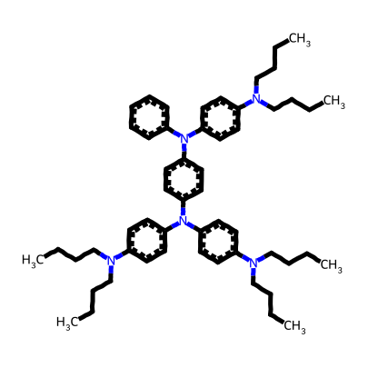 CCCCN(CCCC)c1ccc(N(c2ccccc2)c2ccc(N(c3ccc(N(CCCC)CCCC)cc3)c3ccc(N(CCCC)CCCC)cc3)cc2)cc1